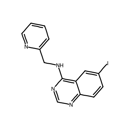 Ic1ccc2ncnc(NCc3ccccn3)c2c1